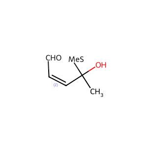 CSC(C)(O)/C=C\C=O